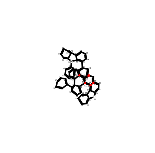 c1ccc(-c2ccccc2-c2c(-c3ccccc3)cccc2N(c2ccc(-c3cccc4c5ccccc5n(-c5ccccc5)c34)cc2)c2cccc3oc4ccccc4c23)cc1